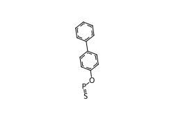 S=POc1ccc(-c2ccccc2)cc1